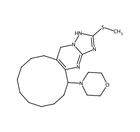 CSC1=NC2=NC3=C(CCCCCCCCCC3N3CCOCC3)CN2N1